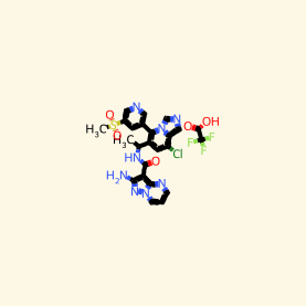 CC(NC(=O)c1c(N)nn2cccnc12)c1cc(Cl)c2cncn2c1-c1cncc(S(C)(=O)=O)c1.O=C(O)C(F)(F)F